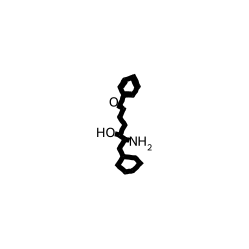 NC(CC1CCCCC1)C(O)CCCC(=O)c1ccccc1